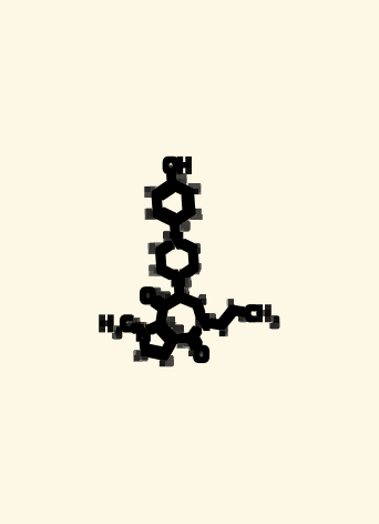 CCCN1CC(N2CCN(c3ccc(O)cc3)CC2)C(=O)c2c(ccn2C)C1=O